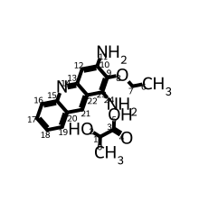 CC(O)C(=O)O.CCOc1c(N)cc2nc3ccccc3cc2c1N